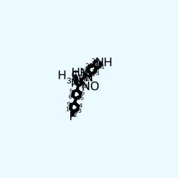 Cn1nc(-c2ccc(-c3ccc(F)cc3)cc2)c(N=O)c1-c1nc2cc3c(cc2[nH]1)CNC3